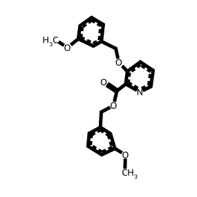 COc1cccc(COC(=O)c2ncccc2OCc2cccc(OC)c2)c1